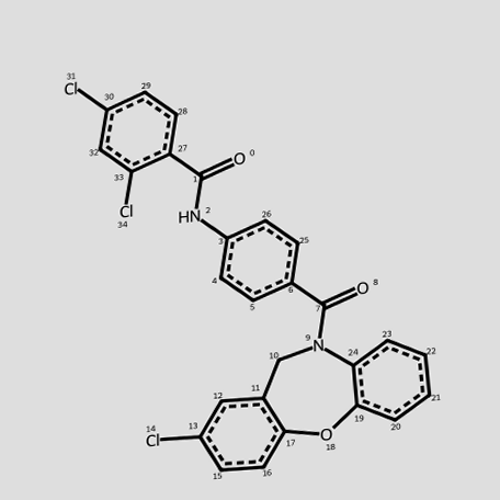 O=C(Nc1ccc(C(=O)N2Cc3cc(Cl)ccc3Oc3ccccc32)cc1)c1ccc(Cl)cc1Cl